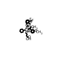 COc1cccc(-c2c(C)n(Cc3c(F)cccc3C(F)(F)F)c(=O)n(C[C@H](NCCCC(=O)O)C3CCCCC3)c2=O)c1F